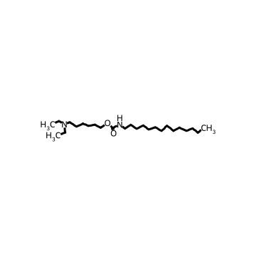 CCCCCCCCCCCCCCNC(=O)OCCCCCCN(CC)CC